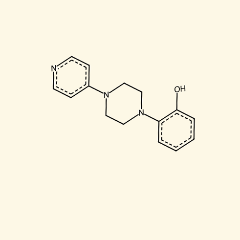 Oc1ccccc1N1CCN(c2ccncc2)CC1